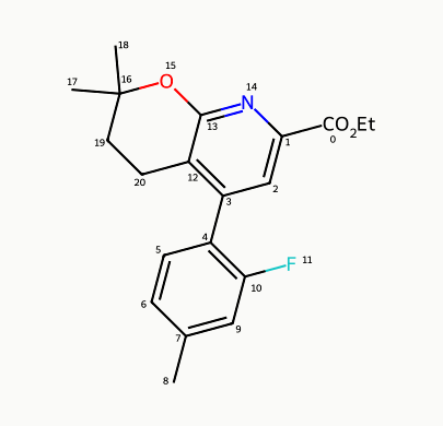 CCOC(=O)c1cc(-c2ccc(C)cc2F)c2c(n1)OC(C)(C)CC2